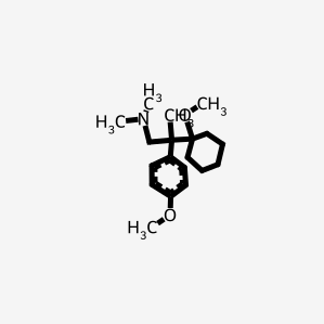 COc1ccc(C(C)(CN(C)C)C2(OC)CCCCC2)cc1